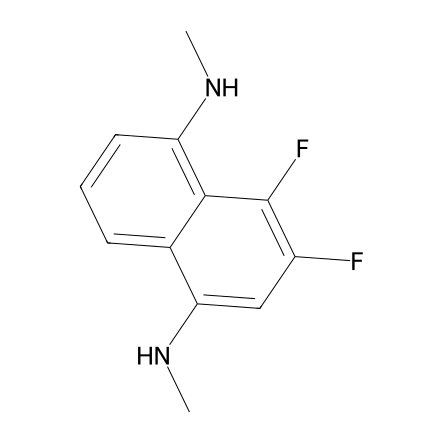 CNc1cc(F)c(F)c2c(NC)cccc12